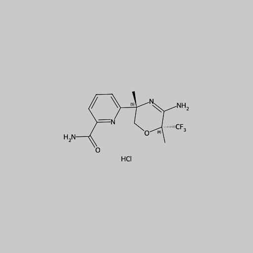 C[C@]1(c2cccc(C(N)=O)n2)CO[C@@](C)(C(F)(F)F)C(N)=N1.Cl